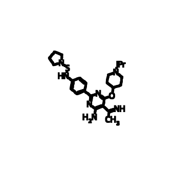 CC(=N)c1c(N)nc(-c2ccc(NSN3CCCC3)cc2)nc1OC1CCN(C(C)C)CC1